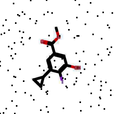 COC(=O)c1cc(O)c(I)c(C2CC2)c1